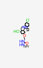 CCCNC(=O)NCCOc1ccc2c(c1)C(C1(c3ccc(Cl)cc3)CCC1)NCC2.Cl